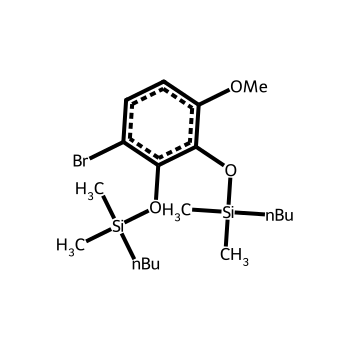 CCCC[Si](C)(C)Oc1c(Br)ccc(OC)c1O[Si](C)(C)CCCC